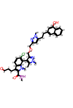 CPC(=O)c1c(CCCO)c2ccc(Cl)c(-c3c(COCc4cc(CCc5cc(O)c6ccccc6c5)n(C)n4)nn(C)c3C)c2n1C